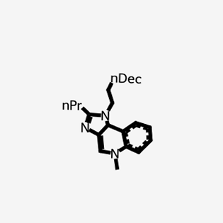 CCCCCCCCCCCCN1C(CCC)=NC2=CN(C)c3ccccc3C21